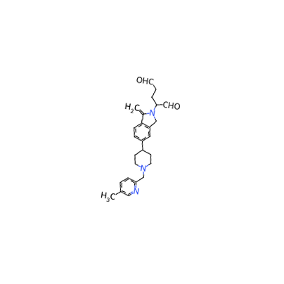 C=C1c2ccc(C3CCN(Cc4ccc(C)cn4)CC3)cc2CN1C(C=O)CCC=O